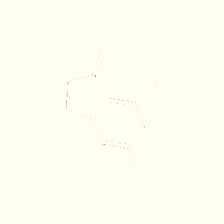 O=C1CCc2cc(Br)cc(Cl)c21